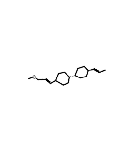 C/C=C/[C@H]1CC[C@H](C2CCC(/C=C/COC)CC2)CC1